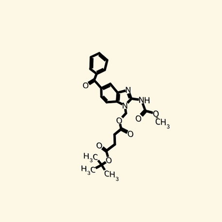 COC(=O)Nc1nc2cc(C(=O)c3ccccc3)ccc2n1COC(=O)CCC(=O)OC(C)(C)C